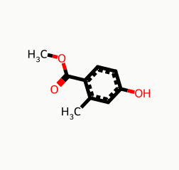 COC(=O)c1ccc(O)cc1C